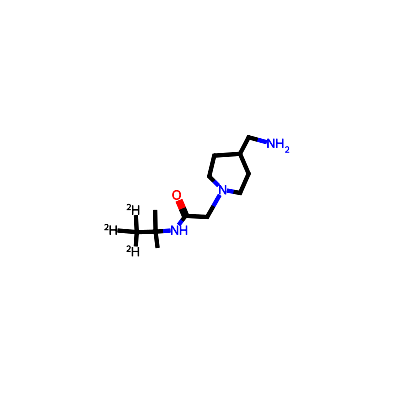 [2H]C([2H])([2H])C(C)(C)NC(=O)CN1CCC(CN)CC1